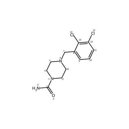 NC(=O)N1CCN(Cc2cccc(Cl)c2Cl)CC1